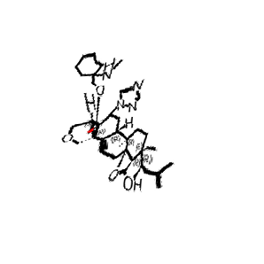 CNC1(CO[C@@H]2[C@@H]3COC[C@@]4(C[C@H]2n2cncn2)C2=CC[C@@]5(C)[C@H](C(=O)O)[C@@](C)([C@H](C)C(C)C)CC[C@]5(C)[C@H]2CC[C@@H]34)CCCCC1